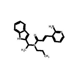 CCCN(C(=O)C=Cc1cccnc1N)C(C)c1cc2ccccc2[nH]1